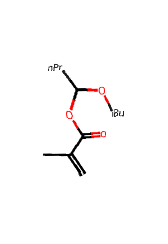 C=C(C)C(=O)OC(CCC)OC(C)CC